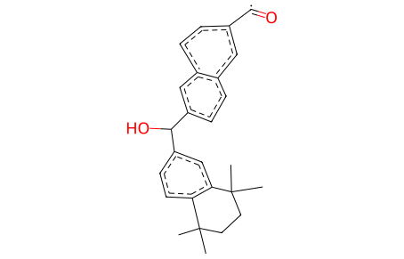 CC1(C)CCC(C)(C)c2cc(C(O)c3ccc4cc([C]=O)ccc4c3)ccc21